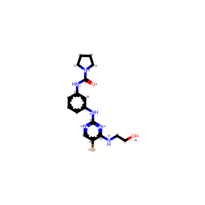 O=C(Nc1cccc(Nc2ncc(Br)c(NCCO)n2)c1)N1CCCC1